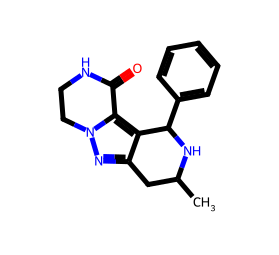 CC1Cc2nn3c(c2C(c2ccccc2)N1)C(=O)NCC3